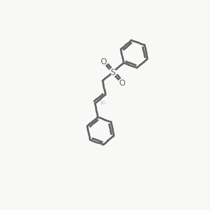 O=S(=O)(C/C=C/c1ccccc1)c1ccccc1